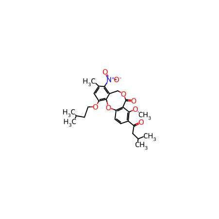 COc1c(C(=O)CC(C)C)ccc2c1C(=O)OCc1c(c(OCCC(C)C)cc(C)c1[N+](=O)[O-])O2